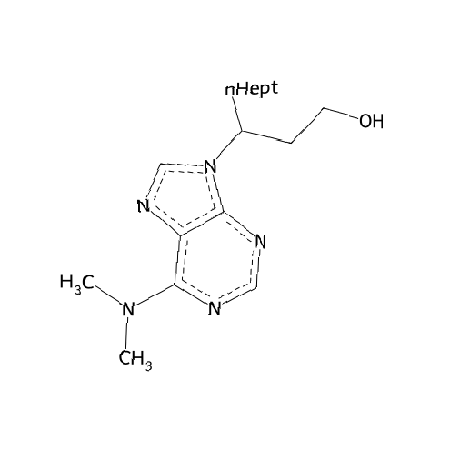 CCCCCCCC(CCO)n1cnc2c(N(C)C)ncnc21